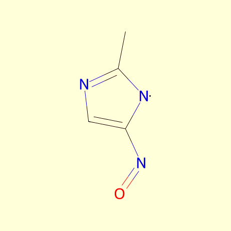 CC1=NC=C(N=O)[N]1